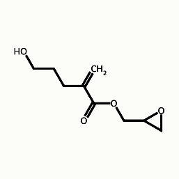 C=C(CCCO)C(=O)OCC1CO1